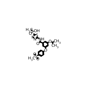 CC(C)Oc1cc(Oc2ccc(S(C)(=O)=O)cc2)cc(C(=O)Nc2nnc(P(C)(=O)O)s2)c1